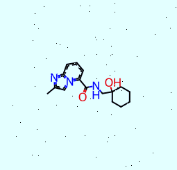 Cc1cn2c(C(=O)NCC3(O)CCCCC3)cccc2n1